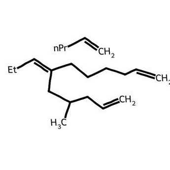 C=CCCC.C=CCCCCC(=CCC)CC(C)CC=C